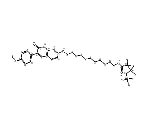 COc1ccc(-c2cc3ccc(OCCCCCCCCCCCOC(=O)C4(C)CC4(C)CC(C)(C)C)nc3oc2=O)cc1